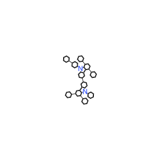 c1ccc(-c2ccc(-n3c4ccc(-c5ccc6c(c5)c5cc(-c7ccccc7)cc(-c7ccccc7)c5n6-c5ccccc5)cc4c4c(-c5ccccc5)ccc(-c5ccccc5)c43)cc2)cc1